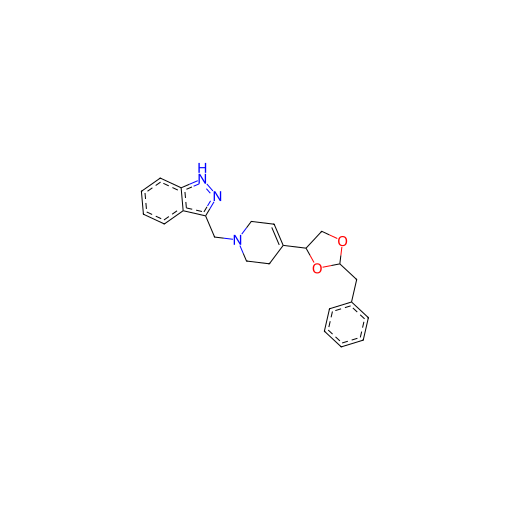 C1=C(C2COC(Cc3ccccc3)O2)CCN(Cc2n[nH]c3ccccc23)C1